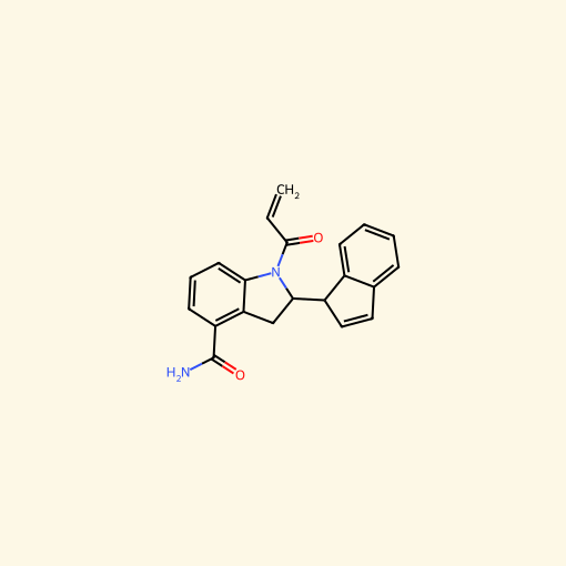 C=CC(=O)N1c2cccc(C(N)=O)c2CC1C1C=Cc2ccccc21